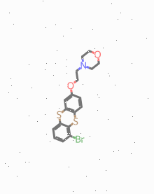 Brc1cccc2c1Sc1ccc(OCCN3CCOCC3)cc1S2